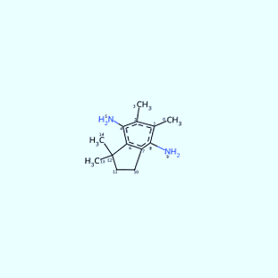 Cc1c(C)c(N)c2c(c1N)CCC2(C)C